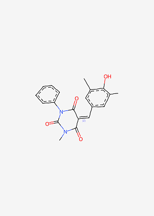 Cc1cc(/C=C2/C(=O)N(C)C(=O)N(c3ccccc3)C2=O)cc(C)c1O